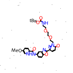 COc1ccc(C(=O)Nc2ccc3oc(-c4ccc(=O)n(CCOCCOCCNC(=O)OC(C)(C)C)n4)nc3c2)nc1